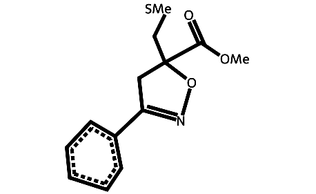 COC(=O)C1(CSC)CC(c2ccccc2)=NO1